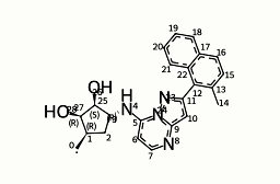 [CH2][C@@H]1C[C@@H](Nc2ccnc3cc(-c4c(C)ccc5ccccc45)nn23)[C@H](O)[C@@H]1O